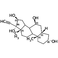 C#C[C@@]1(O)[C@@H](O)CC2C3C(CC[C@@]21C)[C@@]1(C)CC[C@@H](O)C[C@H]1C[C@@H]3O